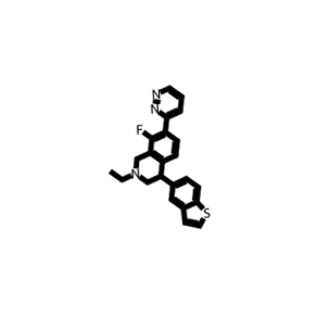 CCN1Cc2c(ccc(-c3cccnn3)c2F)C(c2ccc3sccc3c2)C1